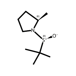 C[C@@H]1CCCN1[S@@+]([O-])C(C)(C)C